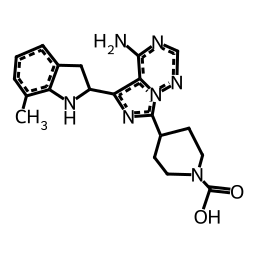 Cc1cccc2c1NC(c1nc(C3CCN(C(=O)O)CC3)n3ncnc(N)c13)C2